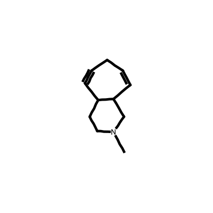 CN1CCC2C#CCC=CC2C1